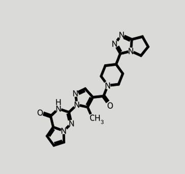 Cc1c(C(=O)N2CCC(c3nnc4n3CCC4)CC2)cnn1-c1nn2cccc2c(=O)[nH]1